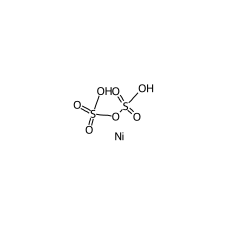 O=S(=O)(O)OS(=O)(=O)O.[Ni]